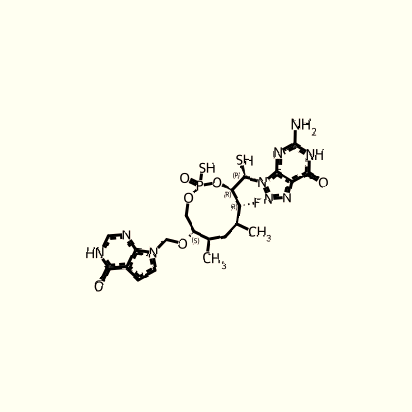 CC1CC(C)[C@H](OCn2ccc3c(=O)[nH]cnc32)COP(=O)(S)O[C@@H]([C@@H](S)n2nnc3c(=O)[nH]c(N)nc32)[C@@H]1F